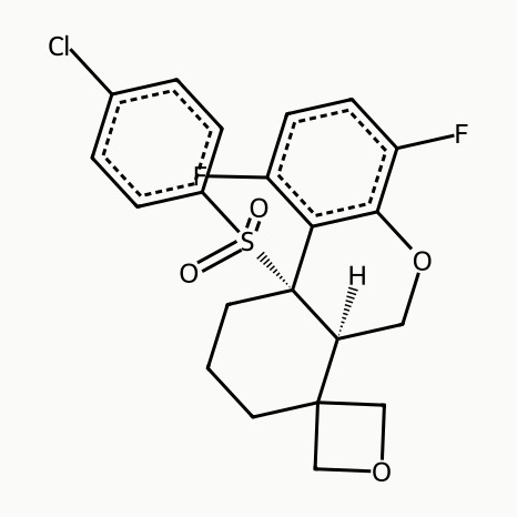 O=S(=O)(c1ccc(Cl)cc1)[C@@]12CCCC3(COC3)[C@@H]1COc1c(F)ccc(F)c12